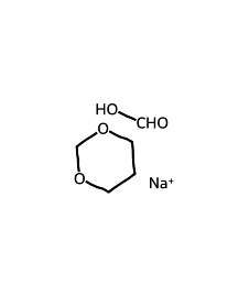 C1COCOC1.O=[C-]O.[Na+]